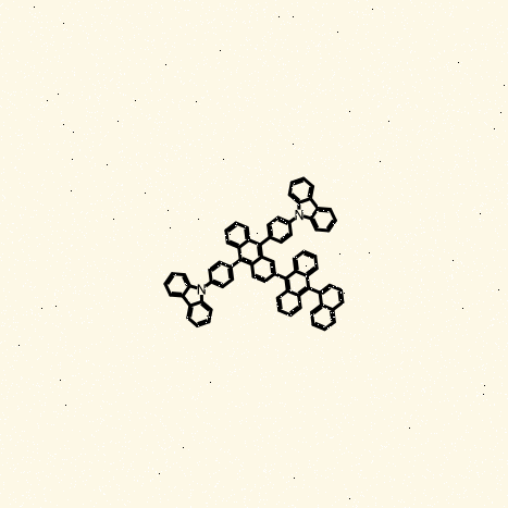 c1ccc2c(-c3c4ccccc4c(-c4ccc5c(-c6ccc(-n7c8ccccc8c8ccccc87)cc6)c6ccccc6c(-c6ccc(-n7c8ccccc8c8ccccc87)cc6)c5c4)c4ccccc34)cccc2c1